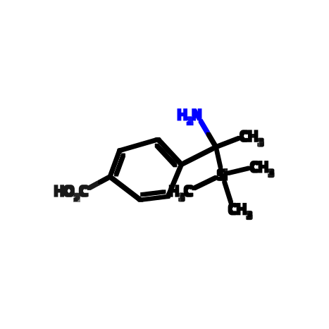 CC(N)(c1ccc(C(=O)O)cc1)[Si](C)(C)C